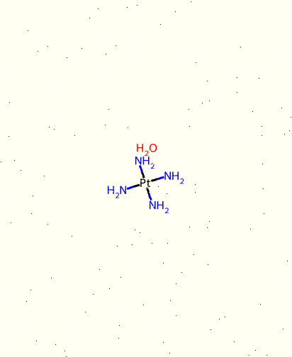 O.[NH2][Pt]([NH2])([NH2])[NH2]